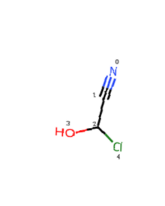 N#CC(O)Cl